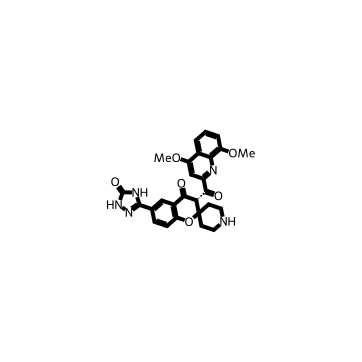 COc1cc(C(=O)[C@H]2C(=O)c3cc(-c4n[nH]c(=O)[nH]4)ccc3OC23CCNCC3)nc2c(OC)cccc12